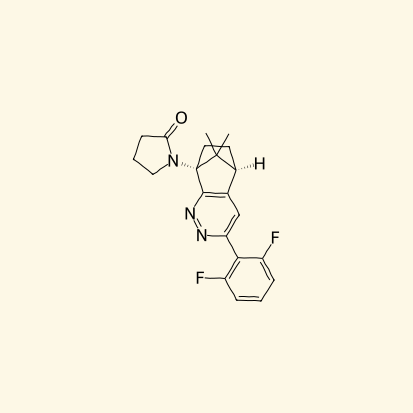 CC1(C)[C@H]2CC[C@]1(N1CCCC1=O)c1nnc(-c3c(F)cccc3F)cc12